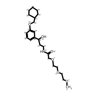 COCCOCCOCC(=O)NCCC(O)c1cccc(OCC2CCCCC2)c1